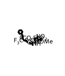 CCOC(=O)C(CCCOCC(C)(C)Nc1nc(C(=O)OC)c([N+](=O)[O-])cc1C(F)(F)F)(OCc1ccccc1)C(F)(F)F